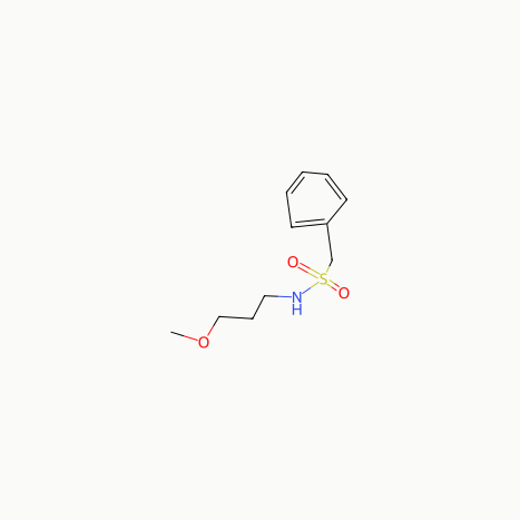 COCCCNS(=O)(=O)Cc1ccccc1